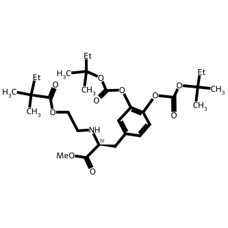 CCC(C)(C)OC(=O)Oc1ccc(C[C@H](NCCOC(=O)C(C)(C)CC)C(=O)OC)cc1OC(=O)OC(C)(C)CC